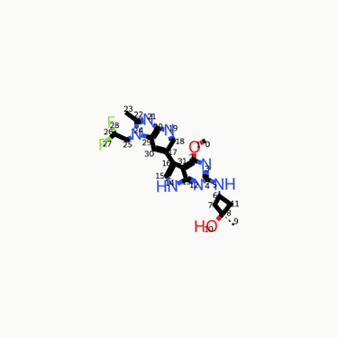 COc1nc(N[C@H]2C[C@](C)(O)C2)nc2[nH]cc(-c3cnc4nc(C)n(CC(F)F)c4c3)c12